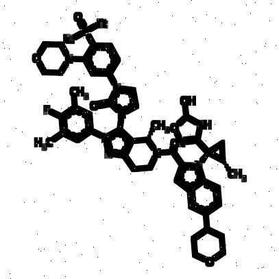 CCP(=O)(CC)c1ccc(-n2ccn(-c3c4c(nn3-c3cc(C)c(F)c(C)c3)CCN(C(=O)c3cc5cc(C6CCOCC6)ccc5n3[C@@]3(C5=NOC(O)N5)C[C@@H]3C)[C@H]4C)c2=O)cc1N1CCOCC1